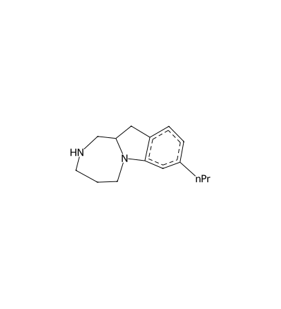 CCCc1ccc2c(c1)N1CCCNCC1C2